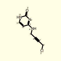 O=c1nc(NCC#CCCl)cc[nH]1